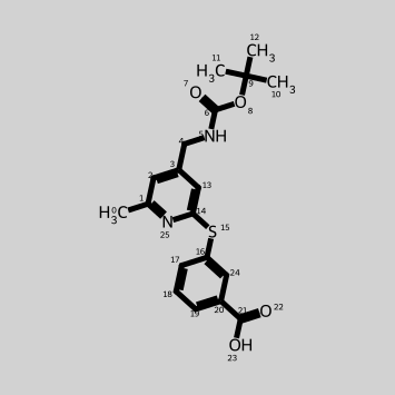 Cc1cc(CNC(=O)OC(C)(C)C)cc(Sc2cccc(C(=O)O)c2)n1